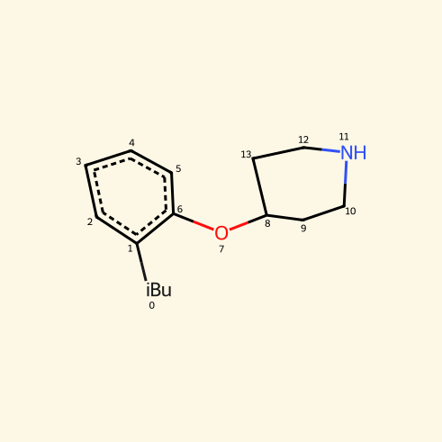 CCC(C)c1ccccc1OC1CCNCC1